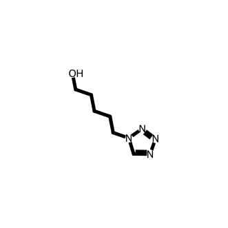 OCCCCCn1cnnn1